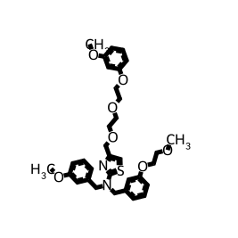 COCCOc1cccc(CN(Cc2cccc(OC)c2)c2nc(COCCOCCOc3cccc(OC)c3)cs2)c1